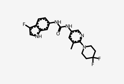 Cc1cc(NC(=O)Nc2ccc3c(F)c[nH]c3c2)cnc1N1CCC(F)(F)CC1